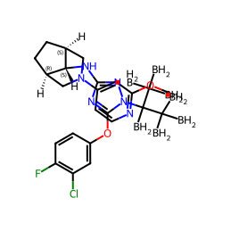 BC(B)(B)C(B)(n1nc(N[C@@H]2[C@@H]3CC[C@H]2CN(c2ccnc(OC)c2)C3)nc1Oc1ccc(F)c(Cl)c1)C(B)(B)B